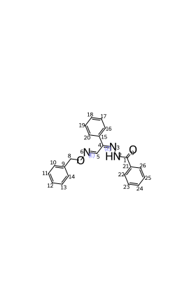 O=C(N/N=C(\C=N\OCc1ccccc1)c1ccccc1)c1ccccc1